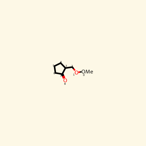 COOCC1CCCC1=O